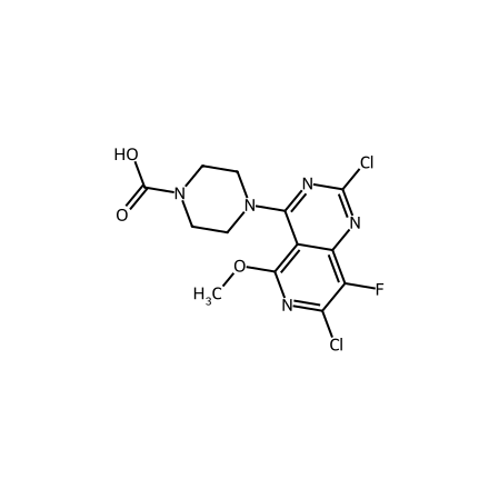 COc1nc(Cl)c(F)c2nc(Cl)nc(N3CCN(C(=O)O)CC3)c12